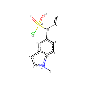 C=CC(c1ccc2c(ccn2C)c1)S(=O)(=O)Cl